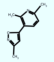 Cc1cc(-c2ccc(C)nc2C)on1